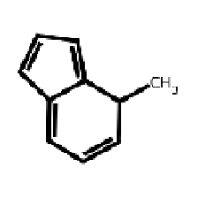 CC1C=CC=C2C=CC=C21